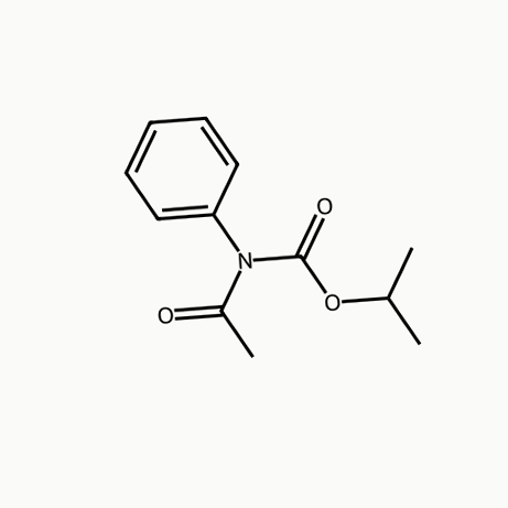 CC(=O)N(C(=O)OC(C)C)c1ccccc1